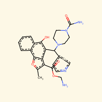 Cc1oc2c(c1C(=O)OCN)c(C(c1ccncc1)N1CCN(C(N)=O)CC1)c(O)c1ccccc12